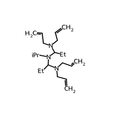 C=CCN(CC=C)C(CC)N(C(C)C)C(CC)N(CC=C)CC=C